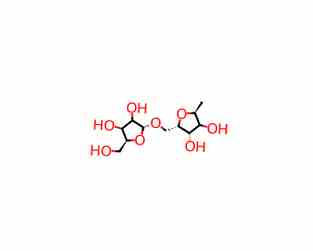 C[C@@H]1O[C@@H](CO[C@@H]2O[C@@H](CO)[C@@H](O)C2O)[C@@H](O)C1O